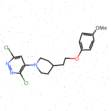 COc1ccc(OCCC2CCN(c3cc(Cl)nnc3Cl)CC2)cc1